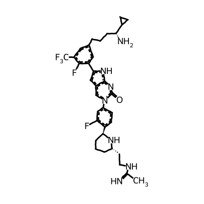 CC(=N)NCC[C@@H]1CCC[C@@H](c2ccc(-n3cc4cc(-c5cc(CCC[C@@H](N)C6CC6)cc(C(F)(F)F)c5F)[nH]c4nc3=O)cc2F)N1